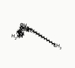 CCCCCCCCCCCCCCCCCCOCc1cn(C[C@H]2O[C@@H](n3cnc4c(N)ncnc43)C[C@H]2O)nn1